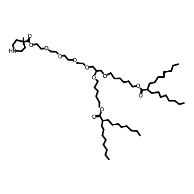 CCCCCCCCC(CCCCCCCC)C(=O)OCCCCCCOCC(COCCOCCOCCOCCOC(=O)C1(C)CCNCC1)OCCCCCCOC(=O)C(CCCCCCCC)CCCCCCCC